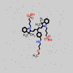 CCOCCCNCc1ccc(C(=C\C=C2\N(CCCCS(=O)(=O)O)c3ccccc3C2(C)C)/C=C/C2=[N+](CCCCS(=O)(=O)O)c3ccccc3C2(C)C)cc1